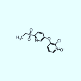 CCS(=O)(=O)c1ccc(Oc2ccc[n+]([O-])c2Cl)cn1